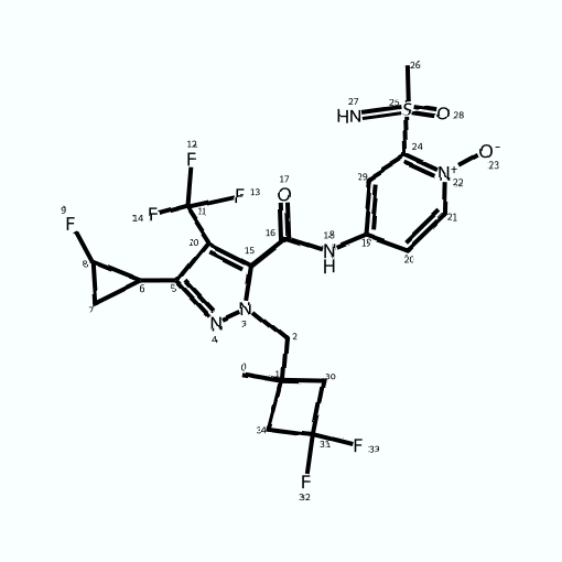 CC1(Cn2nc(C3CC3F)c(C(F)(F)F)c2C(=O)Nc2cc[n+]([O-])c(S(C)(=N)=O)c2)CC(F)(F)C1